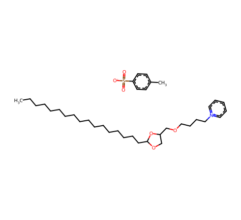 CCCCCCCCCCCCCCCCCC1OCC(COCCCC[n+]2ccccc2)O1.Cc1ccc(S(=O)(=O)[O-])cc1